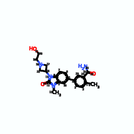 Cc1ccc(-c2ccc3c(c2)n(C)c(=O)n3C2CN(CCO)C2)cc1C(N)=O